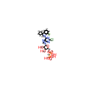 O=P(O)(O)CP(=O)(O)OC[C@H]1O[C@@H](n2cnc3c(N4CC5(CCCC5)c5cccc(F)c54)nc(Cl)nc32)[C@@H](O)C1O